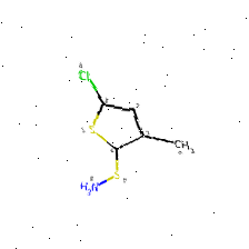 CC1CC(Cl)SC1SN